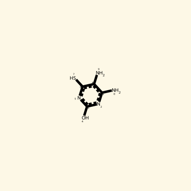 Nc1nc(O)nc(S)c1N